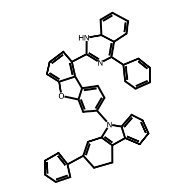 C1=CC2=C(c3ccccc3)N=C(c3cccc4oc5cc(-n6c7c(c8ccccc86)CCC(c6ccccc6)=C7)ccc5c34)NC2C=C1